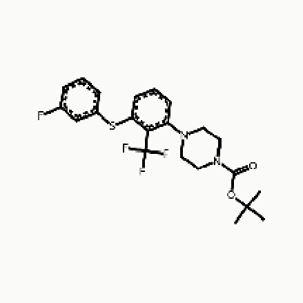 CC(C)(C)OC(=O)N1CCN(c2cccc(Sc3cccc(F)c3)c2C(F)(F)F)CC1